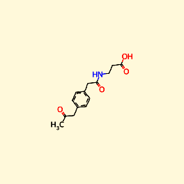 CC(=O)Cc1ccc(CC(=O)NCCC(=O)O)cc1